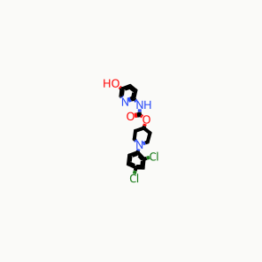 O=C(Nc1ccc(O)cn1)OC1CCN(c2ccc(Cl)cc2Cl)CC1